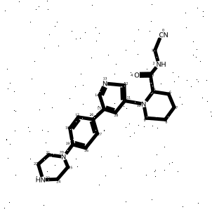 N#CCNC(=O)C1CCCCN1c1cncc(-c2ccc(N3CCNCC3)cc2)c1